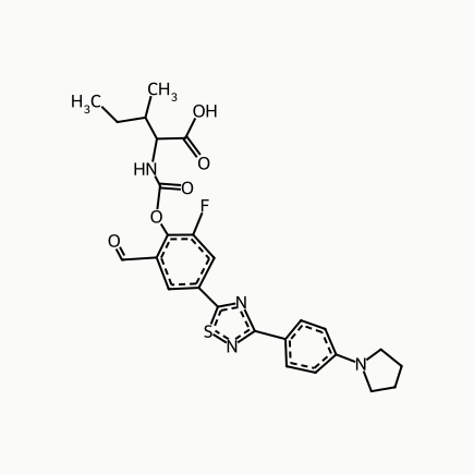 CCC(C)C(NC(=O)Oc1c(F)cc(-c2nc(-c3ccc(N4CCCC4)cc3)ns2)cc1C=O)C(=O)O